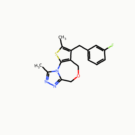 Cc1sc2c(c1Cc1cccc(F)c1)COCc1nnc(C)n1-2